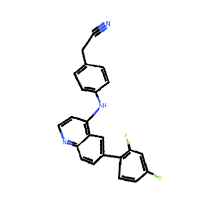 N#CCc1ccc(Nc2ccnc3ccc(-c4ccc(F)cc4F)cc23)cc1